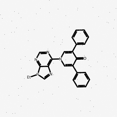 CCn1cnc2c(-n3cc(-c4ccccc4)c(=O)c(-c4ccccc4)c3)ncnc21